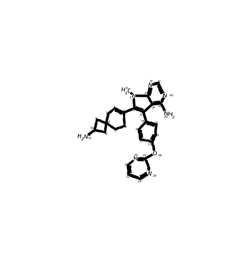 Cn1c(C2=CCC3(CC2)CC(N)C3)c(-c2ccc(Oc3ncccn3)cc2)c2c(N)ncnc21